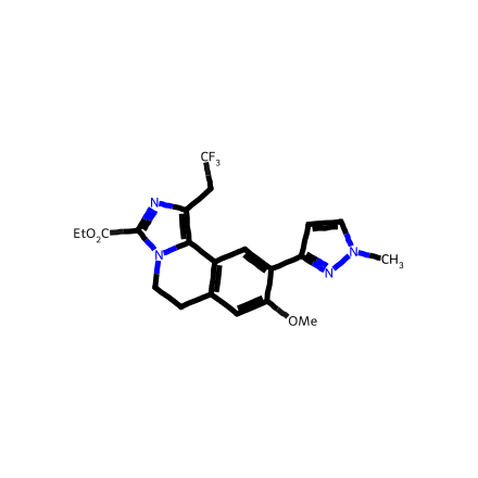 CCOC(=O)c1nc(CC(F)(F)F)c2n1CCc1cc(OC)c(-c3ccn(C)n3)cc1-2